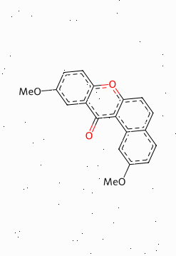 COc1ccc2oc3ccc4ccc(OC)cc4c3c(=O)c2c1